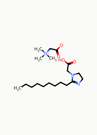 CCCCCCCCCC1=NCCN1CC(=O)O.C[N+](C)(C)CC(=O)[O-]